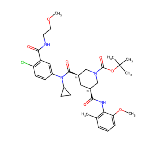 COCCNC(=O)c1cc(N(C(=O)[C@@H]2C[C@H](C(=O)Nc3c(C)cccc3OC)CN(C(=O)OC(C)(C)C)C2)C2CC2)ccc1Cl